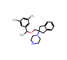 CC(OCC1(N2CCNCC2)Cc2ccccc2C1)c1cc(C(F)(F)F)cc(C(F)(F)F)c1